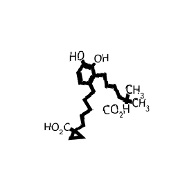 CC(C)(CCCCc1c(CCCCCC2(C(=O)O)CC2)ccc(O)c1O)C(=O)O